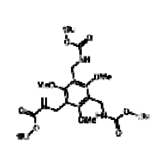 COc1c(CNC(=O)OC(C)(C)C)c(OC)c(CNC(=O)OC(C)(C)C)c(OC)c1CNC(=O)OC(C)(C)C